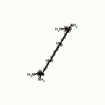 NCCCC[C@H](NC(=O)[C@@H](N)CCCCN)C(=O)NCCCOCCOCCOCCCNC(=O)CCOCCOCCOCCOCCOCCC(=O)NCCCOCCOCCOCCCNC(=O)[C@H](CCCCN)NC(=O)[C@@H](N)CCCCN